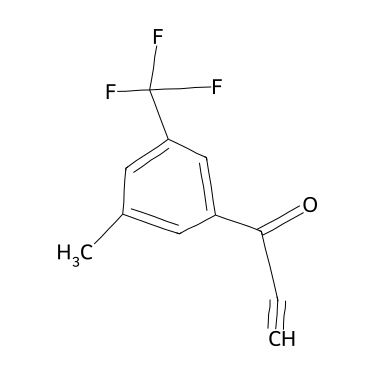 C#CC(=O)c1cc(C)cc(C(F)(F)F)c1